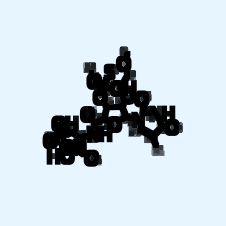 COCCOC1C(OP(O)(=S)OC)C(C(=O)N[C@H](CP(=O)(O)O)C(=O)O)OC1n1cc(C)c(=O)[nH]c1=O